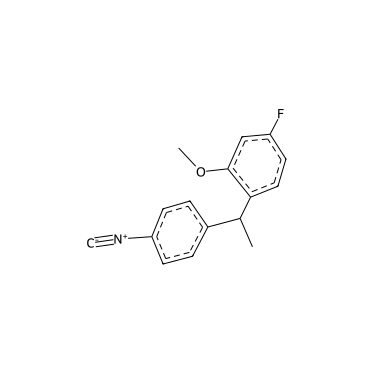 [C-]#[N+]c1ccc(C(C)c2ccc(F)cc2OC)cc1